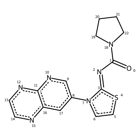 O=C(N=c1sccn1-c1cnc2nccnc2c1)N1CCCC1